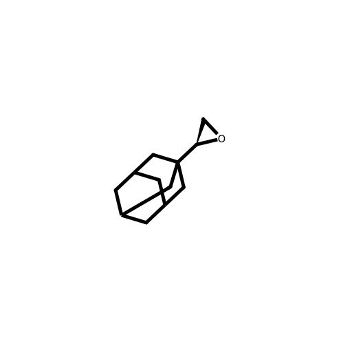 C1C2CC3CC1CC([C@H]1CO1)(C2)C3